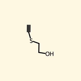 C#CSCCO